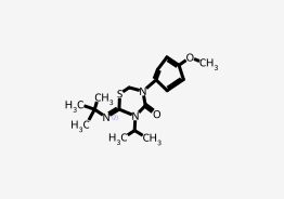 COc1ccc(N2CS/C(=N\C(C)(C)C)N(C(C)C)C2=O)cc1